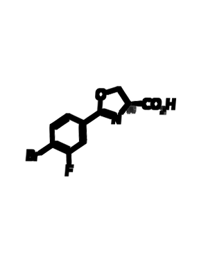 O=C(O)[C@@H]1COC(c2ccc(Br)c(F)c2)=N1